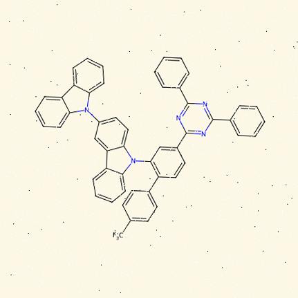 FC(F)(F)c1ccc(-c2ccc(-c3nc(-c4ccccc4)nc(-c4ccccc4)n3)cc2-n2c3ccccc3c3cc(-n4c5ccccc5c5ccccc54)ccc32)cc1